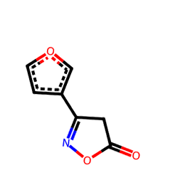 O=C1CC(c2ccoc2)=NO1